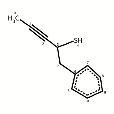 CC#CC(S)Cc1ccccc1